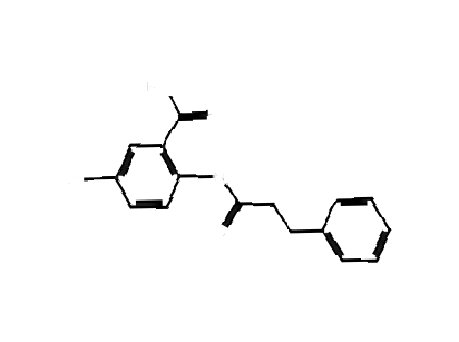 O=C(CCc1ccccc1)Nc1ccc(Br)cc1C(=O)O